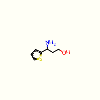 NC(CCO)c1cccs1